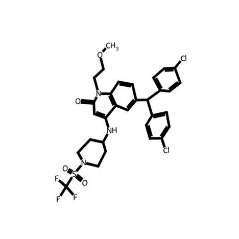 COCCn1c(=O)cc(NC2CCN(S(=O)(=O)C(F)(F)F)CC2)c2cc(C(c3ccc(Cl)cc3)c3ccc(Cl)cc3)ccc21